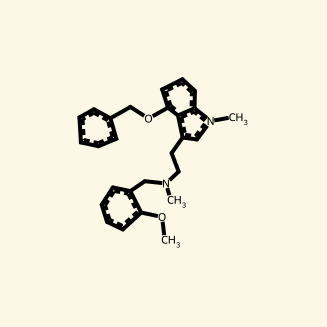 COc1ccccc1CN(C)CCc1cn(C)c2cccc(OCc3ccccc3)c12